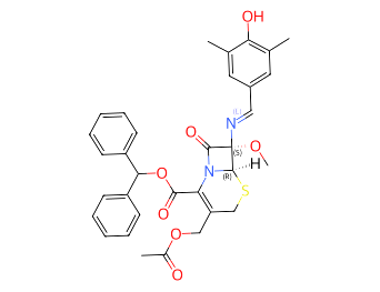 CO[C@@]1(/N=C/c2cc(C)c(O)c(C)c2)C(=O)N2C(C(=O)OC(c3ccccc3)c3ccccc3)=C(COC(C)=O)CS[C@@H]21